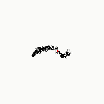 C[C@@H]1CN(C(=O)NCCCCCc2cccc3c2CN(C2CCC(=O)NC2=O)C3=O)CCN1c1ccc(Nc2cc(-c3ccnc(N4CCn5c(cc6c5CC(C)(C)C6)C4=O)c3CO)cn(C)c2=O)nc1